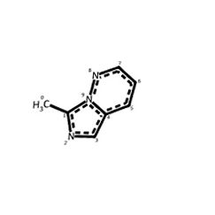 Cc1ncc2cccnn12